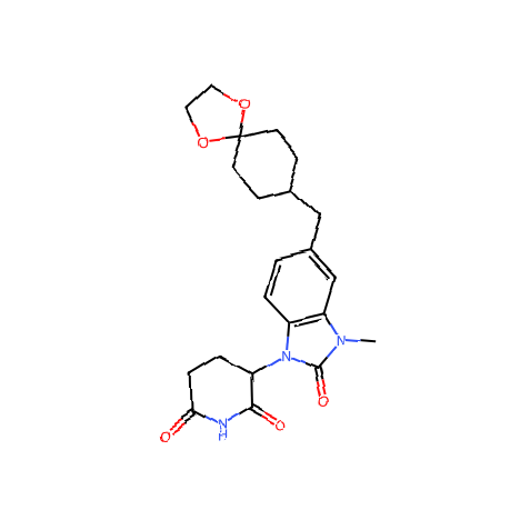 Cn1c(=O)n(C2CCC(=O)NC2=O)c2ccc(CC3CCC4(CC3)OCCO4)cc21